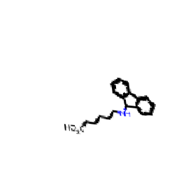 O=C(O)CCCCCNC1c2ccccc2-c2ccccc21